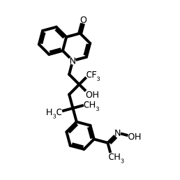 CC(=NO)c1cccc(C(C)(C)CC(O)(Cn2ccc(=O)c3ccccc32)C(F)(F)F)c1